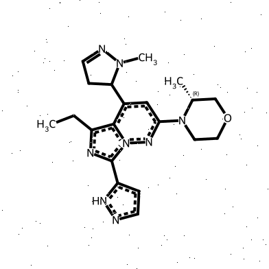 CCc1nc(-c2ccn[nH]2)n2nc(N3CCOC[C@H]3C)cc(C3CC=NN3C)c12